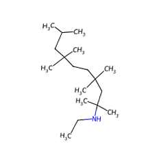 CCNC(C)(C)CC(C)(C)CCC(C)(C)CC(C)C